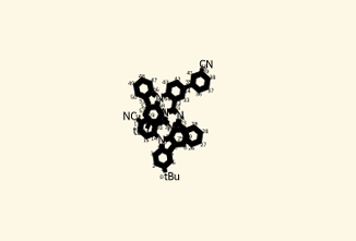 CC(C)(C)c1ccc2c(c1)c1ccccc1n2-c1ccc(C#N)cc1-c1nc(-c2ccccc2)nc(-c2cc(-c3cccc(C#N)c3)ccc2-n2c3ccccc3c3cc(C(C)(C)C)ccc32)n1